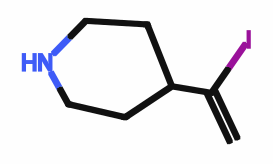 C=C(I)C1CCNCC1